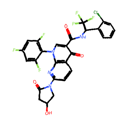 O=C(NC(c1ccccc1Cl)C(F)(F)F)c1cn(-c2c(F)cc(F)cc2F)c2nc(N3CC(O)CC3=O)ccc2c1=O